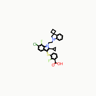 O=C(O)c1cccc(Sc2c(C3CC3)n(CCN3CC4(CCC4)c4ccccc43)c3c(F)c(Cl)ccc23)c1F